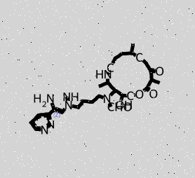 CC1CCCNC(C)C(N(C=O)CCCCN(N)/C=C(\N)c2cccnn2)C(O)COC(=O)C(C)C(=O)CC1